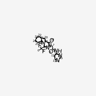 CC(F)(F)c1nn(CC(=O)Nc2ccncn2)c(=O)c2cc3ccccc3n12